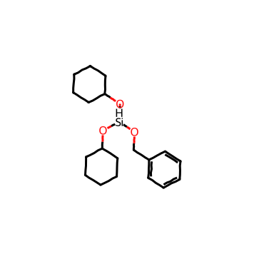 c1ccc(CO[SiH](OC2CCCCC2)OC2CCCCC2)cc1